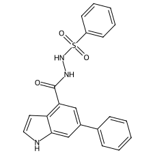 O=C(NNS(=O)(=O)c1ccccc1)c1cc(-c2ccccc2)cc2[nH]ccc12